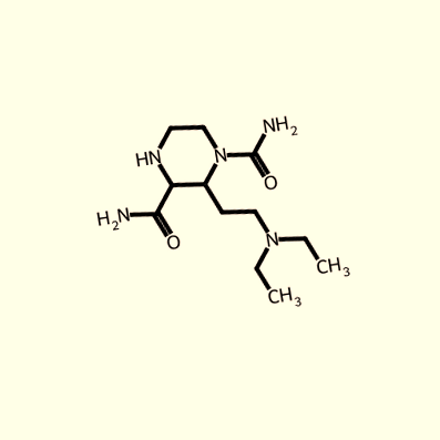 CCN(CC)CCC1C(C(N)=O)NCCN1C(N)=O